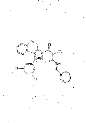 N#CC(C(=O)NCc1ccccc1)C(=O)c1nn(-c2cc(Cl)cc(Cl)c2)c2c1CSc1ccccc1-2